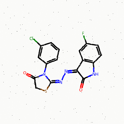 O=C1Nc2ccc(F)cc2C1=NN=C1SCC(=O)N1c1cccc(Cl)c1